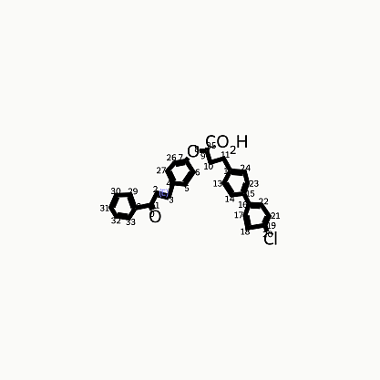 O=C(/C=C/c1ccc(OC(CCc2ccc(-c3ccc(Cl)cc3)cc2)C(=O)O)cc1)c1ccccc1